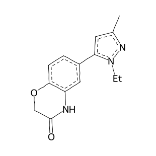 CCn1nc(C)cc1-c1ccc2c(c1)NC(=O)CO2